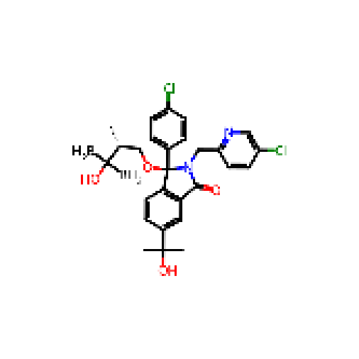 BC(B)(O)[C@H](C)CO[C@]1(c2ccc(Cl)cc2)c2ccc(C(C)(C)O)cc2C(=O)N1Cc1ccc(Cl)cn1